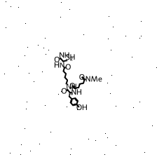 CNC(=O)CCCC(=O)N[C@@H](Cc1ccc(O)cc1)C(=O)NCCCCCC(=O)NC(CS)C(N)=O